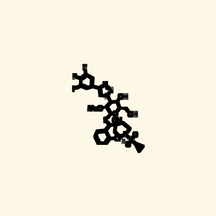 CO[C@@H]1[C@@H](n2cc(-c3cc(F)c(F)c(F)c3)nn2)[C@@H](O)[C@@H](CO)O[C@H]1SC(c1ccccc1C(F)(F)F)C1(O)CCN(S(=O)(=O)C2CC2)CC1